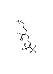 [CH2]CCCC(CCC=C(C(F)(F)F)C(F)(F)F)=C(Cl)Cl